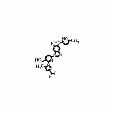 Cc1ccc(Nc2cc3ncn(-c4ccc(CO)c(-n5nc(C(F)F)cc5C)n4)c3cc2F)nn1